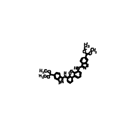 COC(OC)c1ccc2c(Nc3cccc(-c4cccc(Nc5nsc6cc(C(OC)OC)ccc56)c4Cl)c3Cl)nsc2c1